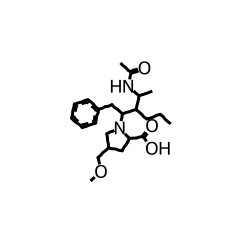 CCCC(C(C)NC(C)=O)C(Cc1ccccc1)N1CC(COC)CC1C(=O)O